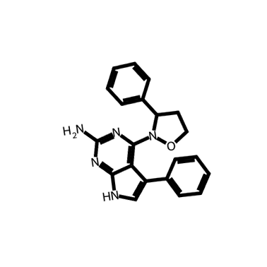 Nc1nc(N2OCCC2c2ccccc2)c2c(-c3ccccc3)c[nH]c2n1